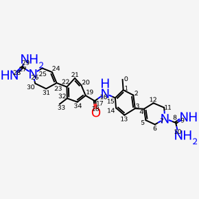 Cc1cc(C2=CCN(C(=N)N)CC2)ccc1NC(=O)c1ccc(C2=CCN(C(=N)N)CC2)c(C)c1